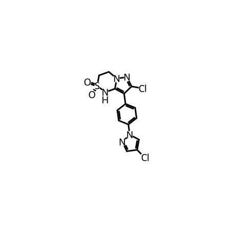 O=S1(=O)CCn2nc(Cl)c(-c3ccc(-n4cc(Cl)cn4)cc3)c2N1